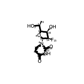 C[C@H](O)C1O[C@@H](n2ccc(=O)[nH]c2=O)[C@H](F)[C@@H]1O